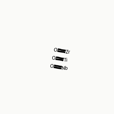 [O]=[Nb].[O]=[Ti].[O]=[Zr]